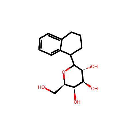 OC[C@H]1OC(C2CCCc3ccccc32)[C@H](O)[C@@H](O)[C@H]1O